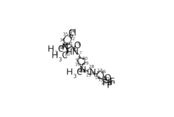 CCc1c(C(=O)NCc2ccc(N(C)C3CN(c4ccc(OC(F)(F)F)cc4)C3)cc2)c2cc(Cl)ccc2n1C